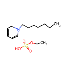 CCCCCCCN1C=CC=CC1.CCOS(=O)(=O)O